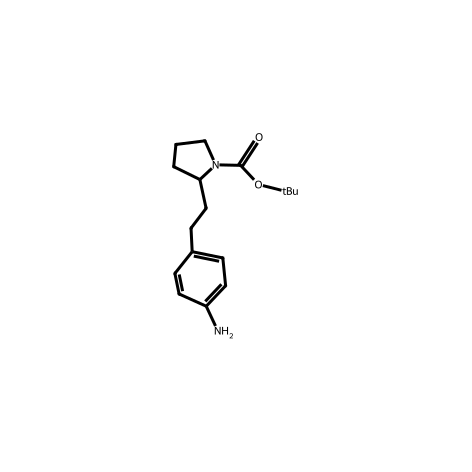 CC(C)(C)OC(=O)N1CCCC1CCc1ccc(N)cc1